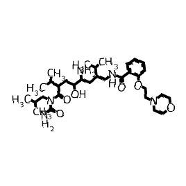 CC(C)CN(C(N)=O)C(=O)C(CC(O)C(N)CC(CNC(=O)c1ccccc1OCCN1CCOCC1)C(C)C)C(C)C